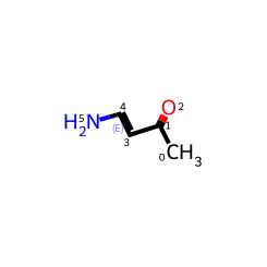 CC(=O)/C=C/N